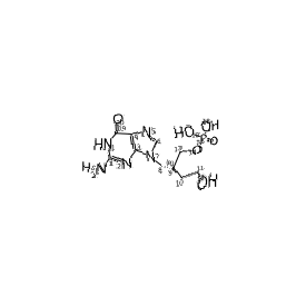 Nc1nc2c(ncn2C[C@@H](CCO)COP(=O)(O)O)c(=O)[nH]1